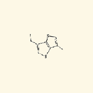 CCc1csc2c(C)csc12